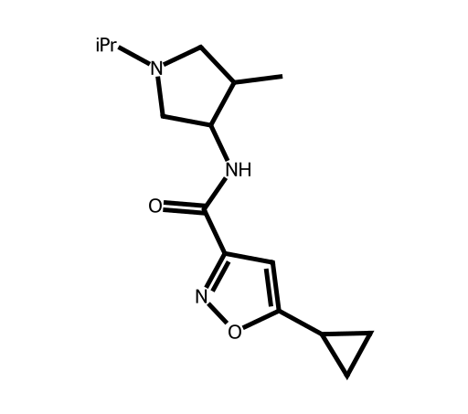 CC1CN(C(C)C)CC1NC(=O)c1cc(C2CC2)on1